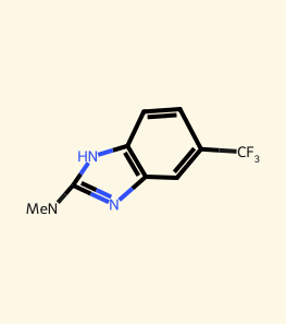 CNc1nc2cc(C(F)(F)F)ccc2[nH]1